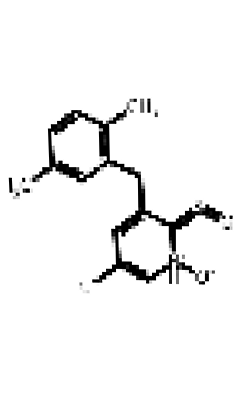 Cc1ccc(C)c(CC2=CC(Cl)=C[NH+]([O-])C2=S=O)c1